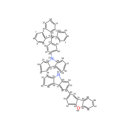 c1ccc([Si](c2ccccc2)(c2ccccc2)c2ccc(-n3c4ccccc4c4c(-n5c6ccccc6c6cc(-c7ccc8oc9ccccc9c8c7)ccc65)cccc43)cc2)cc1